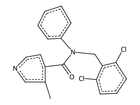 Cc1cnccc1C(=O)N(Cc1c(Cl)cccc1Cl)c1ccccc1